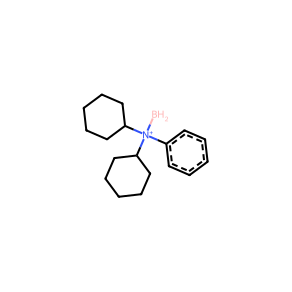 B[N+](c1ccccc1)(C1CCCCC1)C1CCCCC1